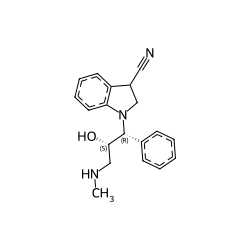 CNC[C@H](O)[C@@H](c1ccccc1)N1CC(C#N)c2ccccc21